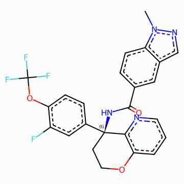 Cn1ncc2cc(C(=O)N[C@]3(c4ccc(OC(F)(F)F)c(F)c4)CCOc4cccnc43)ccc21